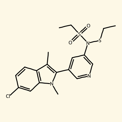 CCSN(c1cncc(-c2c(C)c3ccc(Cl)cc3n2C)c1)S(=O)(=O)CC